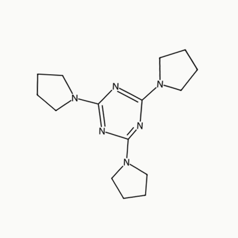 C1CCN(c2nc(N3CCCC3)nc(N3CCCC3)n2)C1